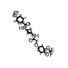 O=C(COc1ccc2c(c1)OC(F)(F)O2)NC12CC(NC(=O)c3ccc(OC(F)(F)F)cn3)(C1)C2